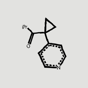 CC(C)C(=O)C1(c2ccncc2)CC1